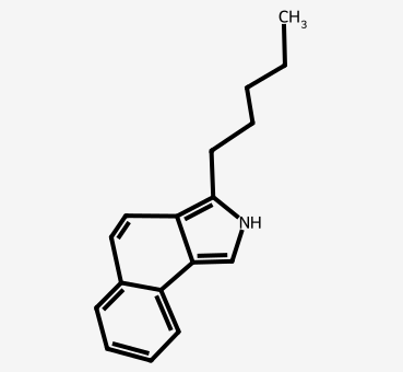 CCCCCc1[nH]cc2c1ccc1ccccc12